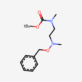 CN(CCN(C)C(=O)OC(C)(C)C)OCc1ccccc1